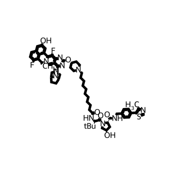 C#Cc1c(F)ccc2cc(O)cc(-c3ncc4c(N5CC6CCC(C5)N6)nc(OC5CCN(CCCCCCCCCCC(=O)N[C@H](C(=O)N6C[C@H](O)C[C@H]6C(=O)NCc6ccc(-c7scnc7C)cc6)C(C)(C)C)CC5)nc4c3F)c12